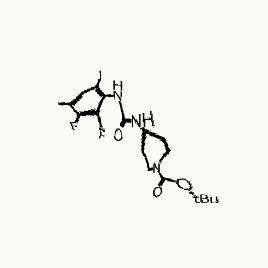 Cc1cc(I)c(NC(=O)NC2CCN(C(=O)OC(C)(C)C)CC2)c(F)c1F